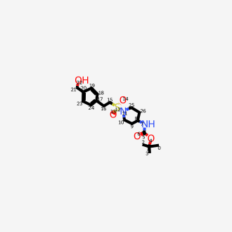 CC(C)(C)OC(=O)NC1CCN(S(=O)(=O)CCc2ccc(CO)cc2)CC1